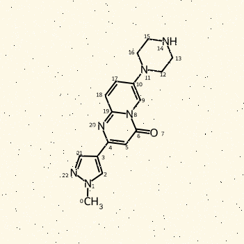 Cn1cc(-c2cc(=O)n3cc(N4CCNCC4)ccc3n2)cn1